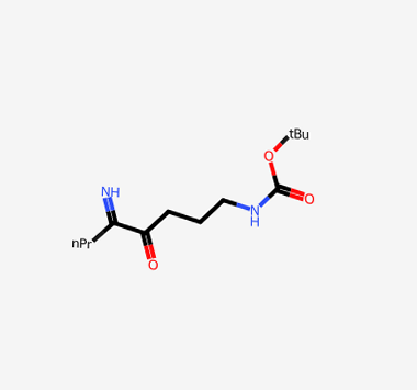 CCCC(=N)C(=O)CCCNC(=O)OC(C)(C)C